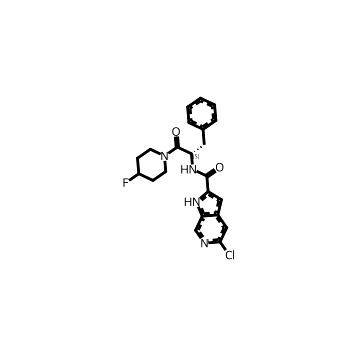 O=C(N[C@@H](Cc1ccccc1)C(=O)N1CCC(F)CC1)c1cc2cc(Cl)ncc2[nH]1